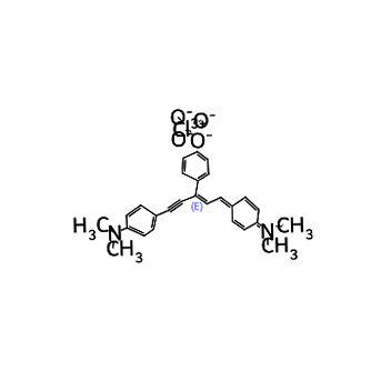 CN(C)c1ccc(C#C/C(=C/C=C2C=CC(=[N+](C)C)C=C2)c2ccccc2)cc1.[O-][Cl+3]([O-])([O-])[O-]